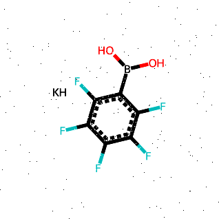 OB(O)c1c(F)c(F)c(F)c(F)c1F.[KH]